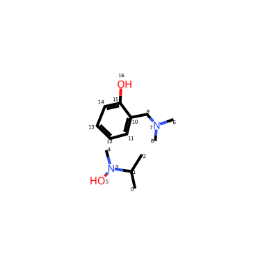 CC(C)N(C)O.CN(C)Cc1ccccc1O